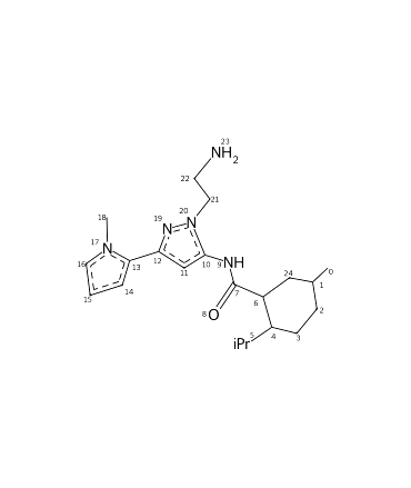 CC1CCC(C(C)C)C(C(=O)Nc2cc(-c3cccn3C)nn2CCN)C1